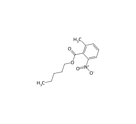 CCCCCOC(=O)c1c(C)cccc1[N+](=O)[O-]